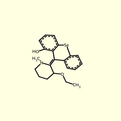 CCOC1CCCN(C)C1=C1c2ccccc2[Se]c2cccc(O)c21